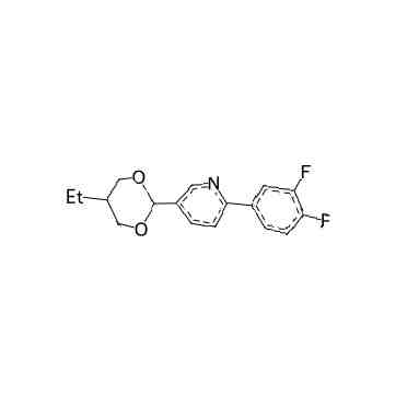 CCC1COC(c2ccc(-c3ccc(F)c(F)c3)nc2)OC1